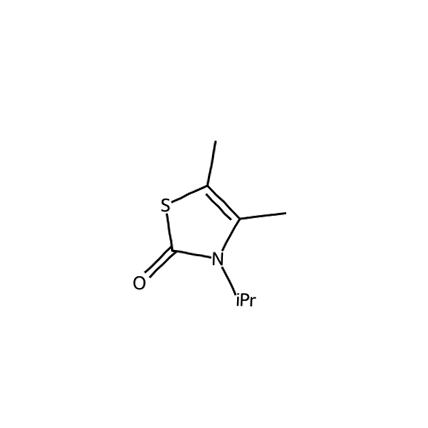 Cc1sc(=O)n(C(C)C)c1C